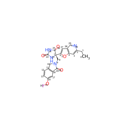 CCc1cc2oc([C@]3(CN4Cc5ccc(OI)cc5C4=O)NC(=O)NC3=O)cc2cn1